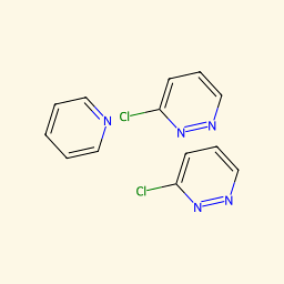 Clc1cccnn1.Clc1cccnn1.c1ccncc1